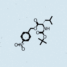 CC(C)C[C@H](NC(=O)OC(C)(C)C)C(=O)OCc1ccc([N+](=O)[O-])cc1